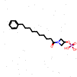 O=C(CCCCCCCCCc1ccccc1)N1CC(OP(=O)(O)O)C1